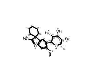 COc1ccc(C2(C(=O)O)CCCCC2)cc1[C@@H]1O[C@@H](C)[C@@H](O)[C@@H](O)[C@@H]1O